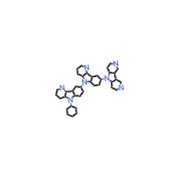 c1ccc(-n2c3ccc(-n4c5ccc(-n6c7ccncc7c7cnccc76)cc5c5ncccc54)cc3c3ncccc32)cc1